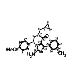 COc1ccc(CCN(CC2CC2)C(=O)c2nc(N)sc2-c2cccc(C)c2)cn1